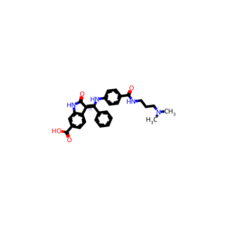 CN(C)CCCNC(=O)c1ccc(N/C(=C2\C(=O)Nc3cc(C(=O)O)ccc32)c2ccccc2)cc1